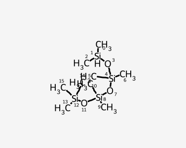 C[SiH](C)O[Si](C)(C)O[Si](C)(C)O[Si](C)(C)C